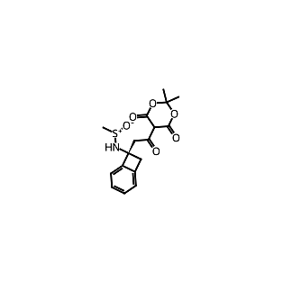 C[S+]([O-])N[C@]1(CC(=O)C2C(=O)OC(C)(C)OC2=O)Cc2ccccc21